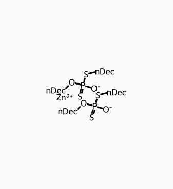 CCCCCCCCCCOP([O-])(=S)SCCCCCCCCCC.CCCCCCCCCCOP([O-])(=S)SCCCCCCCCCC.[Zn+2]